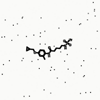 Cc1cc(OCC2CC2)ccc1NC(=O)CCCCNS(=O)(=O)C(C)C